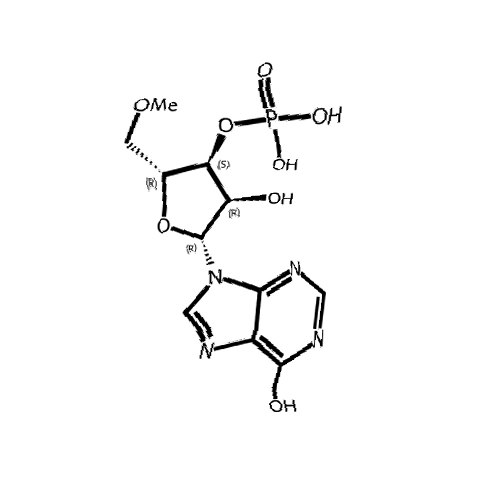 COC[C@H]1O[C@@H](n2cnc3c(O)ncnc32)[C@H](O)[C@@H]1OP(=O)(O)O